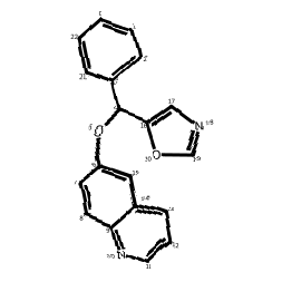 c1ccc(C(Oc2ccc3ncccc3c2)c2cnco2)cc1